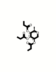 CCC(=O)O[C@@H]1[C@H](OC(=O)CC)[C@@H](C)O[CH][C@H]1OC(=O)CC